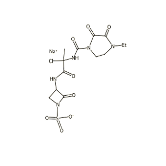 CCN1CCN(C(=O)NC(C)(Cl)C(=O)NC2CN(S(=O)(=O)[O-])C2=O)C(=O)C1=O.[Na+]